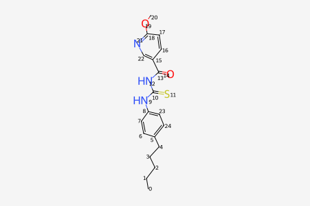 CCCCCc1ccc(NC(=S)NC(=O)c2ccc(OC)nc2)cc1